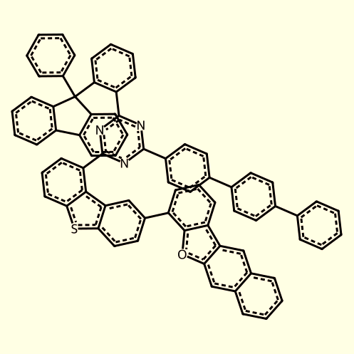 c1ccc(-c2ccc(-c3ccc(-c4nc(-c5ccccc5C5(c6ccccc6)c6ccccc6-c6ccccc65)nc(-c5cccc6sc7ccc(-c8cccc9c8oc8cc%10ccccc%10cc89)cc7c56)n4)cc3)cc2)cc1